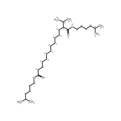 CC(C)CCCCOC(=O)CCCCCCCCCCCC(C(=O)OCCCCC(C)C)C(C)C